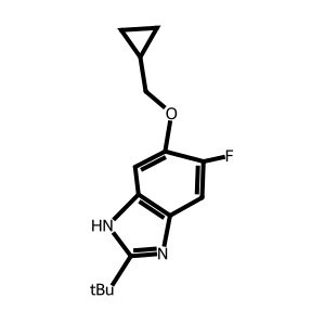 CC(C)(C)c1nc2cc(F)c(OCC3CC3)cc2[nH]1